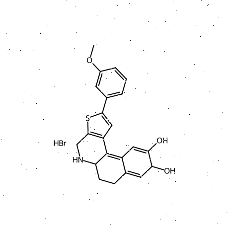 Br.COc1cccc(-c2cc3c(s2)CNC2CCC4=CC(O)C(O)=CC4=C32)c1